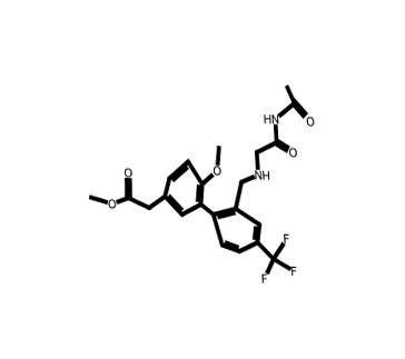 COC(=O)Cc1ccc(OC)c(-c2ccc(C(F)(F)F)cc2CNCC(=O)NC(C)=O)c1